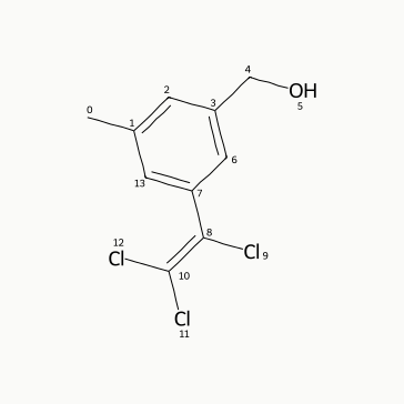 Cc1cc(CO)cc(C(Cl)=C(Cl)Cl)c1